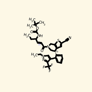 CCC(/C=C/C(=O)N1Cc2sc(C#N)cc2[C@H](c2ccccc2-c2cn(CC)nc2C(F)(F)F)C1)NC(=O)OC(C)(C)C